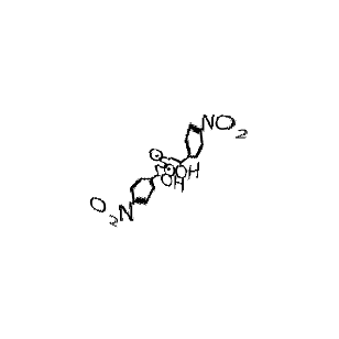 O=[N+]([O-])c1ccc(C(O)CS(=O)(=O)CC(O)c2ccc([N+](=O)[O-])cc2)cc1